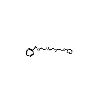 c1ccc(COCCOCCOCCOC2CCNC2)cc1